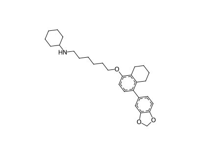 c1cc2c(cc1-c1ccc(OCCCCCCNC3CCCCC3)c3c1CCCC3)OCO2